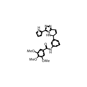 COc1cc(C(=O)Nc2cccc(C3C=Cc4nnc(-c5ccc[nH]5)n4N3)c2)cc(OC)c1OC